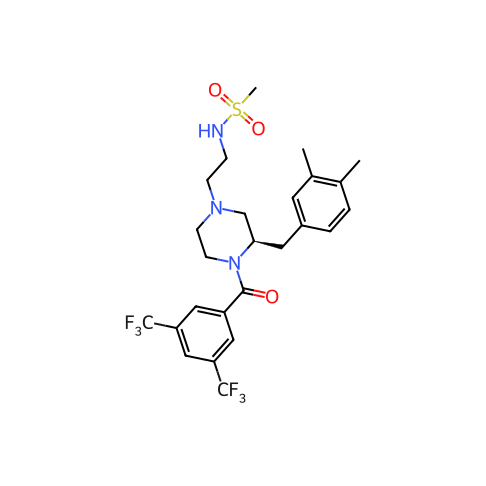 Cc1ccc(C[C@@H]2CN(CCNS(C)(=O)=O)CCN2C(=O)c2cc(C(F)(F)F)cc(C(F)(F)F)c2)cc1C